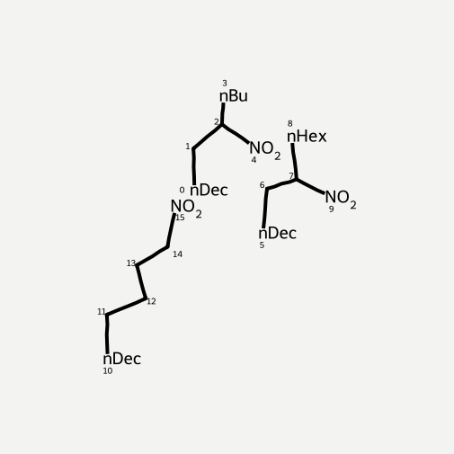 CCCCCCCCCCCC(CCCC)[N+](=O)[O-].CCCCCCCCCCCC(CCCCCC)[N+](=O)[O-].CCCCCCCCCCCCCC[N+](=O)[O-]